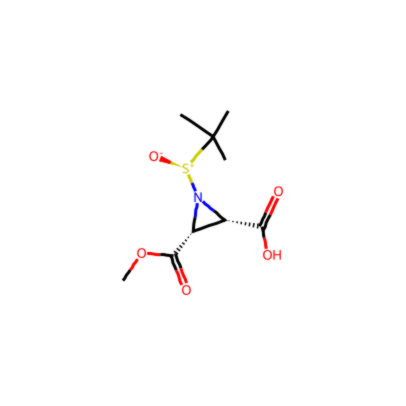 COC(=O)[C@H]1[C@@H](C(=O)O)N1[S@@+]([O-])C(C)(C)C